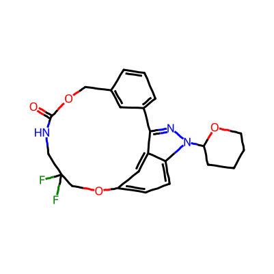 O=C1NCC(F)(F)COc2ccc3c(c2)c(nn3C2CCCCO2)-c2cccc(c2)CO1